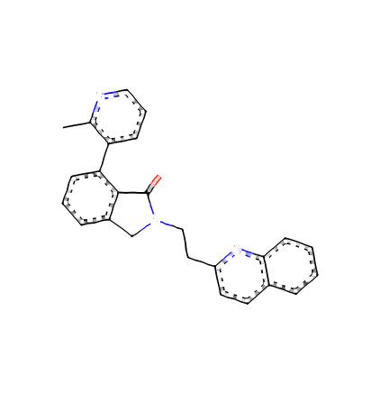 Cc1ncccc1-c1cccc2c1C(=O)N(CCc1ccc3ccccc3n1)C2